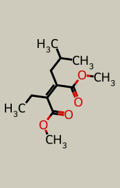 CC/C(C(=O)OC)=C(\CC(C)C)C(=O)OC